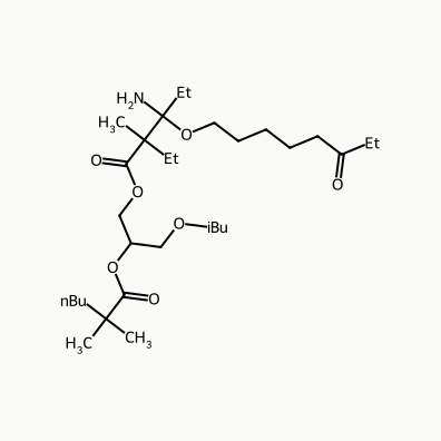 CCCCC(C)(C)C(=O)OC(COC(=O)C(C)(CC)C(N)(CC)OCCCCCC(=O)CC)COC(C)CC